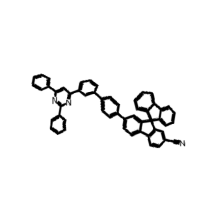 N#Cc1ccc2c(c1)C1(c3ccccc3-c3ccccc31)c1cc(-c3ccc(-c4cccc(-c5cc(-c6ccccc6)nc(-c6ccccc6)n5)c4)cc3)ccc1-2